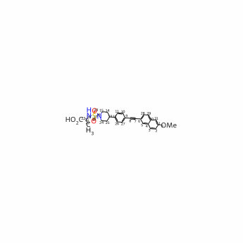 COc1ccc2cc(C#Cc3ccc(C4CCN(S(=O)(=O)N[C@H](C)C(=O)O)CC4)cc3)ccc2c1